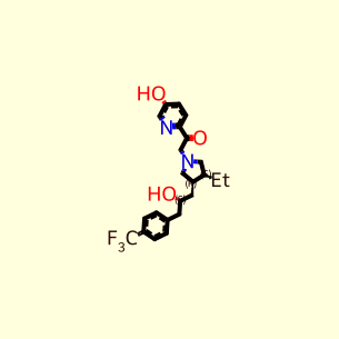 CC[C@@H]1CN(CC(=O)c2ccc(O)cn2)C[C@@H]1C[C@H](O)Cc1ccc(C(F)(F)F)cc1